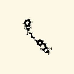 CN(CCCOc1ccc(C=C2NC(=O)SC2=O)cc1)c1nc2ccccc2o1